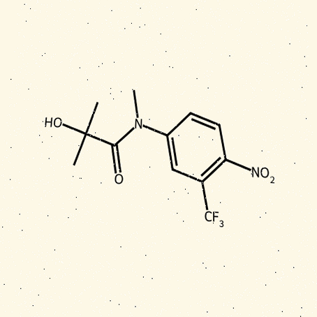 CN(C(=O)C(C)(C)O)c1ccc([N+](=O)[O-])c(C(F)(F)F)c1